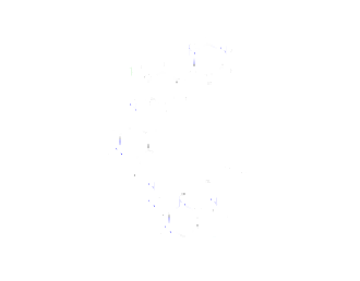 Fc1cnc(N/N=C/c2ccc(Nc3ccc(-c4ccncn4)cc3Cl)cn2)nc1N1CCOCC1